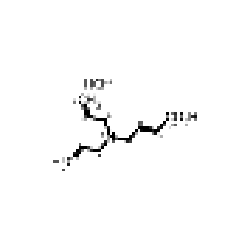 C=CCN(CC=C)CC=CC(=O)O.Cl